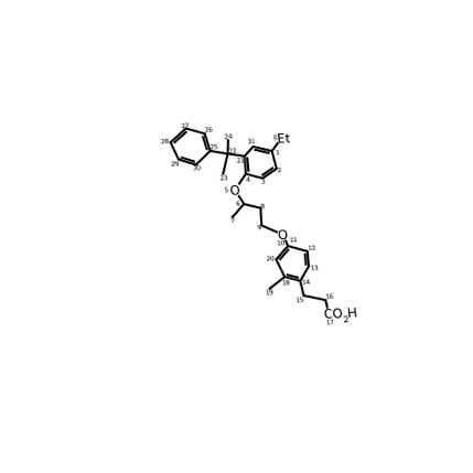 CCc1ccc(OC(C)CCOc2ccc(CCC(=O)O)c(C)c2)c(C(C)(C)c2ccccc2)c1